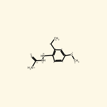 CCc1cc(OC)ccc1NNC(N)=S